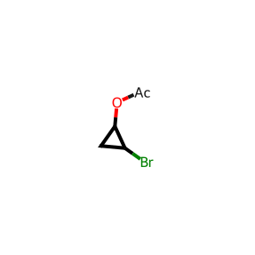 CC(=O)OC1CC1Br